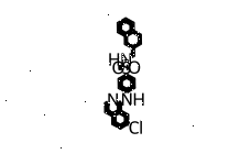 O=S(=O)(NCC1CCc2ccccc2C1)c1ccc(Nc2nccc3ccc(Cl)cc23)cc1